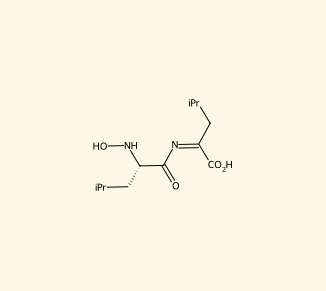 CC(C)CC(=NC(=O)[C@H](CC(C)C)NO)C(=O)O